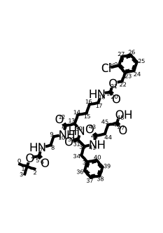 CC(C)(C)OC(=O)NCCNC(=O)C(CCCCNC(=O)OCc1ccccc1Cl)NC(=O)C(Cc1ccccc1)NC(=O)CCC(=O)O